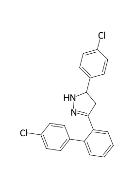 Clc1ccc(-c2ccccc2C2=NNC(c3ccc(Cl)cc3)C2)cc1